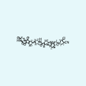 N#Cc1ccc(N2CCc3c(ncnc3Nc3ccc(C(=O)NC4CCN(c5ccc6c(c5)C(=O)N(C5CCC(=O)NC5=O)C6=O)CC4)c(F)n3)C2)cc1Cl